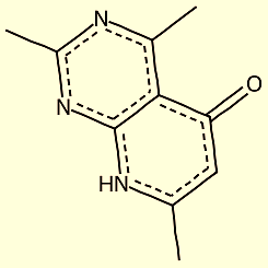 Cc1nc(C)c2c(=O)cc(C)[nH]c2n1